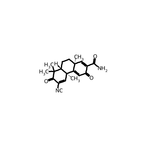 [C-]#[N+]C1=C[C@]2(C)C3=CC(=O)C(C(N)=O)=C[C@]3(C)CC[C@H]2C(C)(C)C1=O